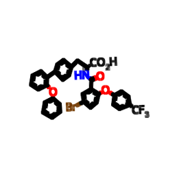 O=C(N[C@@H](Cc1ccc(-c2ccccc2Oc2ccccc2)cc1)C(=O)O)c1cc(Br)ccc1Oc1ccc(C(F)(F)F)cc1